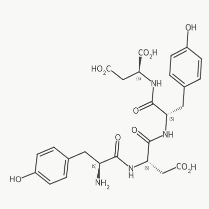 N[C@@H](Cc1ccc(O)cc1)C(=O)N[C@@H](CC(=O)O)C(=O)N[C@@H](Cc1ccc(O)cc1)C(=O)N[C@@H](CC(=O)O)C(=O)O